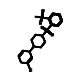 CS(=O)(=O)c1ccccc1S(=O)(=O)N1CCC(C2C=CCC(Cl)=C2)CC1